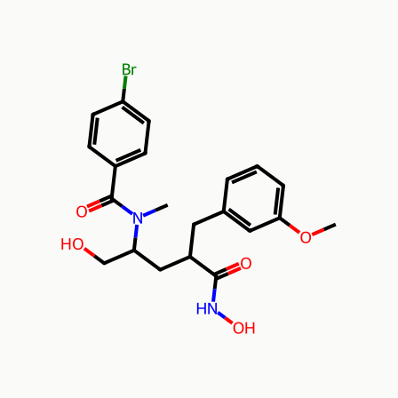 COc1cccc(CC(CC(CO)N(C)C(=O)c2ccc(Br)cc2)C(=O)NO)c1